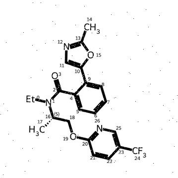 CCN(C(=O)c1ccccc1-c1cnc(C)o1)[C@@H](C)COc1ccc(C(F)(F)F)cn1